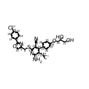 [C-]#[N+]c1c(N)nc(SCc2coc(-c3ccc(Cl)cc3)n2)c(C#N)c1-c1ccc(OC[C@@H](O)CO)cc1